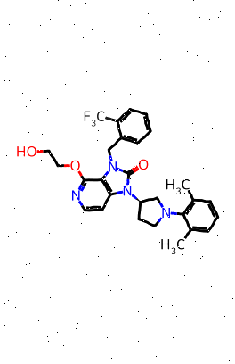 Cc1cccc(C)c1N1CC[C@@H](n2c(=O)n(Cc3ccccc3C(F)(F)F)c3c(OCCO)nccc32)C1